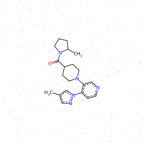 Cc1cnn(-c2ccncc2N2CCC(C(=O)N3CCCC3C)CC2)c1